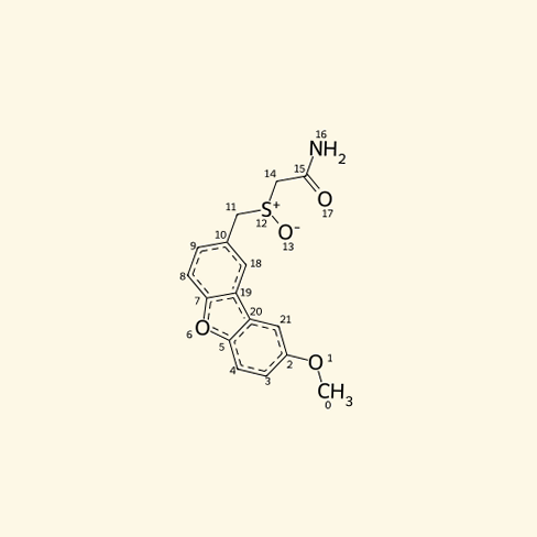 COc1ccc2oc3ccc(C[S+]([O-])CC(N)=O)cc3c2c1